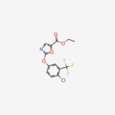 CCOC(=O)c1cnc(Oc2ccc(Cl)c(C(F)(F)F)c2)o1